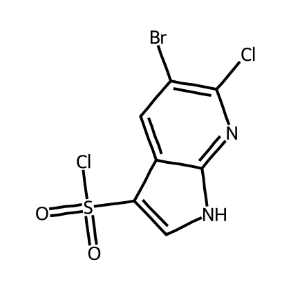 O=S(=O)(Cl)c1c[nH]c2nc(Cl)c(Br)cc12